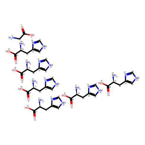 NCC(=O)O.N[C@@H](Cc1c[nH]cn1)C(=O)O.N[C@@H](Cc1c[nH]cn1)C(=O)O.N[C@@H](Cc1c[nH]cn1)C(=O)O.N[C@@H](Cc1c[nH]cn1)C(=O)O.N[C@@H](Cc1c[nH]cn1)C(=O)O.N[C@@H](Cc1c[nH]cn1)C(=O)O